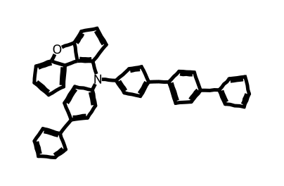 c1ccc(-c2ccc(-c3ccc(N(c4ccc(-c5ccccc5)cc4)c4cccc5oc6ccccc6c45)cc3)cc2)cc1